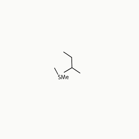 CCC(C)C.CSC